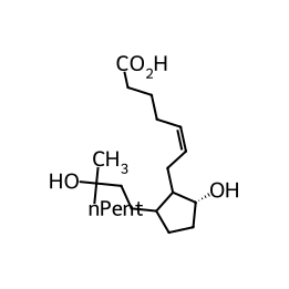 CCCCCC(C)(O)CCC1CC[C@@H](O)C1C/C=C\CCCC(=O)O